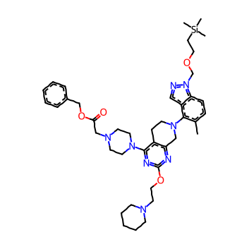 Cc1ccc2c(cnn2COCC[Si](C)(C)C)c1N1CCc2c(nc(OCCN3CCCCC3)nc2N2CCN(CC(=O)OCc3ccccc3)CC2)C1